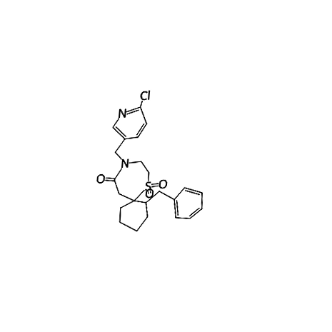 O=C1CC2(CCCCC2Cc2ccccc2)S(=O)(=O)CCN1Cc1ccc(Cl)nc1